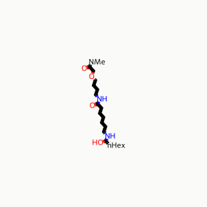 CCCCCCC(O)NCCCCCCC(=O)NCCCCOCC(=O)NC